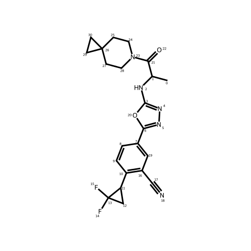 CC(Nc1nnc(-c2ccc(C3CC3(F)F)c(C#N)c2)o1)C(=O)N1CCC2(CC1)CC2